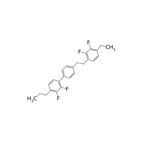 CCCc1ccc(-c2ccc(CCc3ccc(CC)c(F)c3F)cc2)c(F)c1F